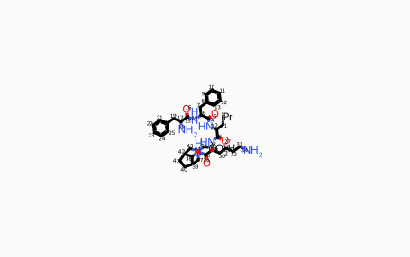 CC(C)CC(NC(=O)C(Cc1ccccc1)NC(=O)C(N)Cc1ccccc1)C(=O)NC(CCCCN)C(=O)NC1C2CCC1CN(CC(=O)O)C2